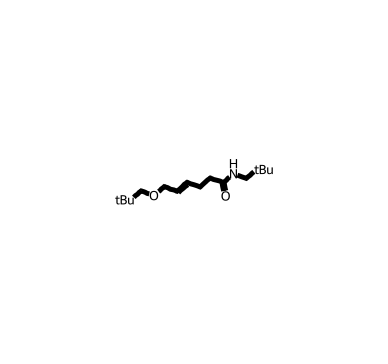 CC(C)(C)CNC(=O)CCC=CCOCC(C)(C)C